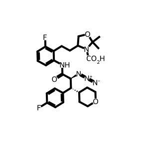 CC1(C)OCC(CCc2c(F)cccc2NC(=O)[C@@H](N=[N+]=[N-])[C@@H](c2ccc(F)cc2)C2CCOCC2)N1C(=O)O